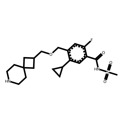 CS(=O)(=O)NC(=O)c1cc(C2CC2)c(COCC2CC3(CCNCC3)C2)cc1F